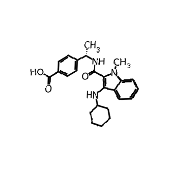 C[C@H](NC(=O)c1c(NC2CCCCC2)c2ccccc2n1C)c1ccc(C(=O)O)cc1